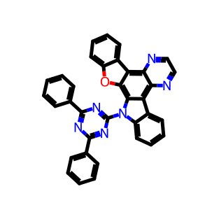 c1ccc(-c2nc(-c3ccccc3)nc(-n3c4ccccc4c4c5nccnc5c5c6ccccc6oc5c43)n2)cc1